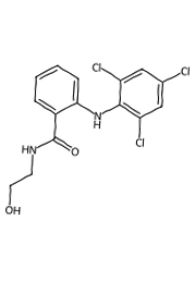 O=C(NCCO)c1ccccc1Nc1c(Cl)cc(Cl)cc1Cl